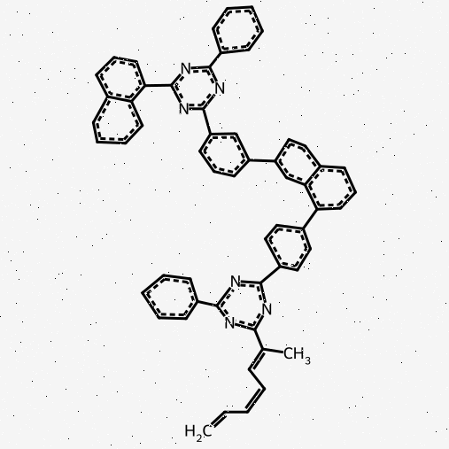 C=C/C=C\C=C(/C)c1nc(-c2ccccc2)nc(-c2ccc(-c3cccc4ccc(-c5cccc(-c6nc(-c7ccccc7)nc(-c7cccc8ccccc78)n6)c5)cc34)cc2)n1